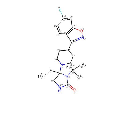 CCC1(N2CCC(c3noc4cc(F)ccc34)CC2)CNC(=O)N1C(C)(C)C